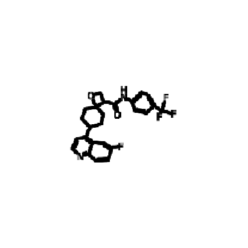 O=C(Nc1ccc(C(F)(F)F)cc1)C1COC12CCC(c1ccnc3ccc(F)cc13)CC2